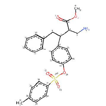 COC(=O)C(CN)C(Cc1ccccc1)c1ccc(OS(=O)(=O)c2ccc(C)cc2)cc1